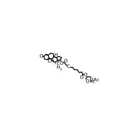 CC(=O)OCC(COC(C)=O)OC(=O)CCCCCCCCC(=O)O[C@H]1CCC2[C@@H]3CCC4=CC(=O)CC[C@]4(C)C3CC[C@@]21C